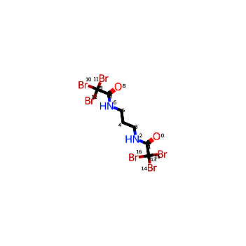 O=C(NCCCNC(=O)C(Br)(Br)Br)C(Br)(Br)Br